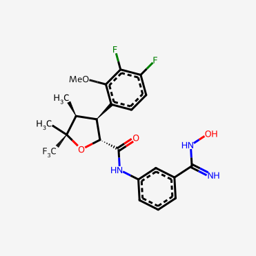 COc1c([C@H]2[C@H](C(=O)Nc3cccc(C(=N)NO)c3)O[C@@](C)(C(F)(F)F)[C@H]2C)ccc(F)c1F